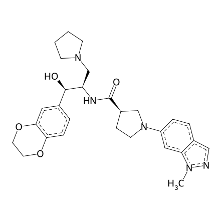 Cn1ncc2ccc(N3CC[C@@H](C(=O)N[C@H](CN4CCCC4)[C@H](O)c4ccc5c(c4)OCCO5)C3)cc21